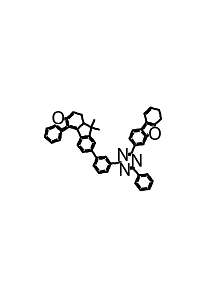 CC1(C)c2cc(-c3cccc(-c4nc(-c5ccccc5)nc(-c5ccc6c7c(oc6c5)CCC=C7)n4)c3)ccc2C2=c3c(oc4ccccc34)=CCC21